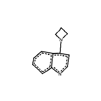 c1ccc2c(N3CCC3)ccnc2c1